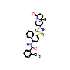 Cc1ccccc1C(=O)Nc1ccc(S(=O)(=O)N[C@@H]2CCN3C(=O)CC[C@@H]3C2)c2ccccc12